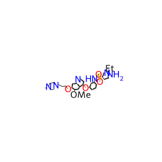 C=C/C(=C\N(N)CC)S(=O)(=O)Nc1cccc(Oc2ccnc3cc(OCCCN4CCN(C)CC4)c(OC)cc23)c1